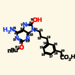 CCCCOc1nc(N)c2nc(O)n(CCCc3cccc(CC(=O)O)c3)c2n1